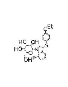 CCOc1ccc(Sc2cn([C@@H]3O[C@H](CO)[C@@H](O)[C@H](O)[C@H]3O)c3c(F)cccc23)cc1